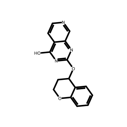 Oc1nc(OC2CCOc3ccccc32)nc2cnccc12